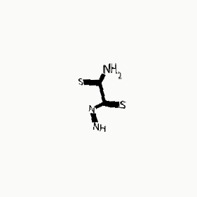 N=NC(=S)C(N)=S